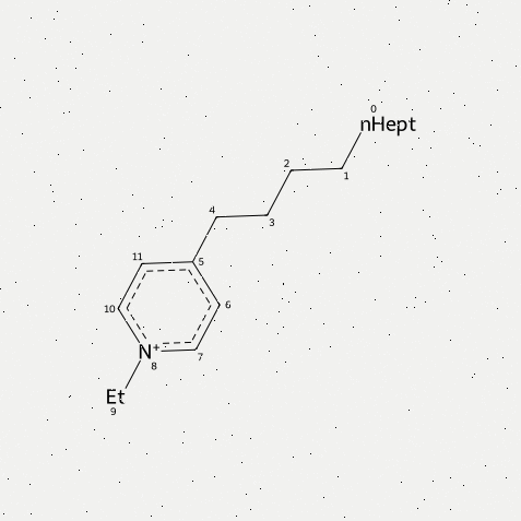 CCCCCCCCCCCc1cc[n+](CC)cc1